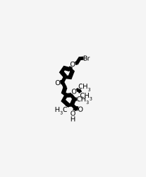 Cc1cc(/C=C/C(=O)c2ccc(OCCBr)cc2)c(OC(C)C)c(C)c1C(=O)O